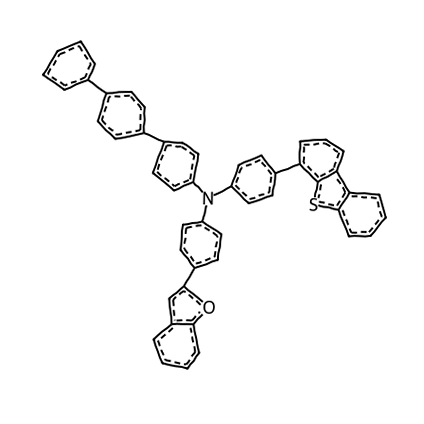 c1ccc(-c2ccc(-c3ccc(N(c4ccc(-c5cc6ccccc6o5)cc4)c4ccc(-c5cccc6c5sc5ccccc56)cc4)cc3)cc2)cc1